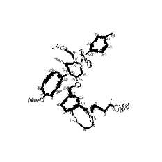 COCCCN1CCOc2ccc(CO[C@H]3CN(S(=O)(=O)c4ccc(C)cc4)[C@H](CC#N)C[C@@H]3c3ccc(OC)cc3)cc21